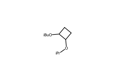 CC(C)COC1CCC1OC(C)C